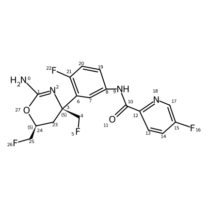 NC1=N[C@](CF)(c2cc(NC(=O)c3ccc(F)cn3)ccc2F)C[C@@H](CF)O1